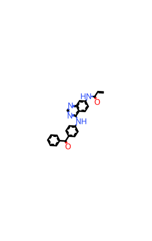 C=CC(=O)Nc1ccc2c(Nc3ccc(C(=O)c4ccccc4)cc3)ncnc2c1